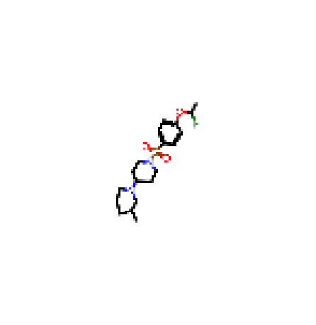 CC1CCCN(C2CCN(S(=O)(=O)c3ccc(OC(C)F)cc3)CC2)C1